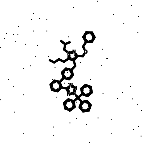 CCCCc1c(Cc2ccc(-c3ccccc3-c3nnn(C(c4ccccc4)(c4ccccc4)c4ccccc4)n3)cc2)c(COCc2ccccc2)nn1CC(C)C